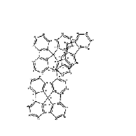 c1ccc(C2(c3ccccc3N(c3ccc4c(c3)C3(c5ccccc5-c5ccccc53)c3ccccc3-4)c3ccc4c(c3)sc3ccccc34)c3ccccc3-c3ccccc32)cc1